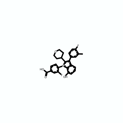 Cc1cc(-c2c(C3CCOCC3)n(-c3ccc(C(=O)O)cc3F)c3c(O)cccc23)ccc1F